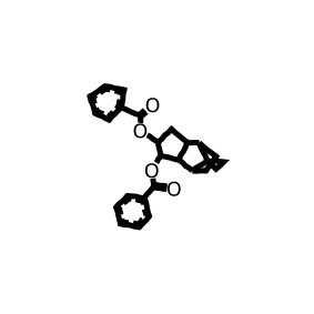 O=C(OC1CC2C(C1OC(=O)c1ccccc1)C1CCC2C12CC2)c1ccccc1